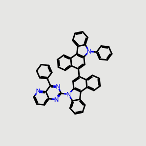 C1=CC(c2nc(-n3c4ccccc4c4c5ccccc5c(-c5cc6c(c7ccccc57)c5ccccc5n6-c5ccccc5)cc43)nc3cccnc23)=CCC1